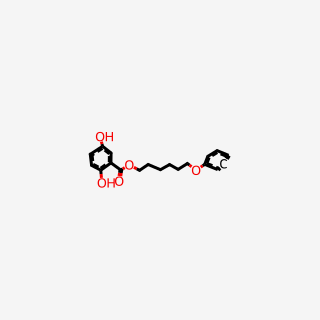 O=C(OCCCCCCOc1ccccc1)c1cc(O)ccc1O